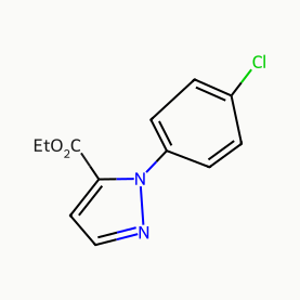 CCOC(=O)c1ccnn1-c1ccc(Cl)cc1